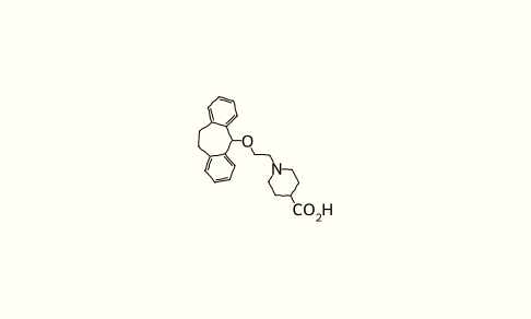 O=C(O)C1CCN(CCOC2c3ccccc3CCc3ccccc32)CC1